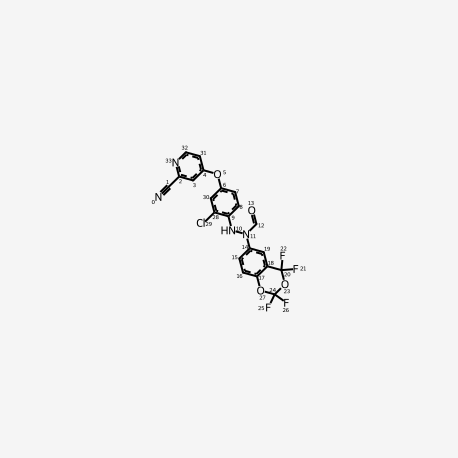 N#Cc1cc(Oc2ccc(NN(C=O)c3ccc4c(c3)C(F)(F)OC(F)(F)O4)c(Cl)c2)ccn1